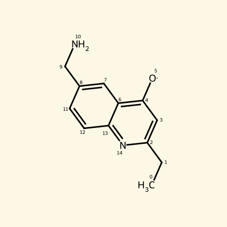 CCc1cc([O])c2cc(CN)ccc2n1